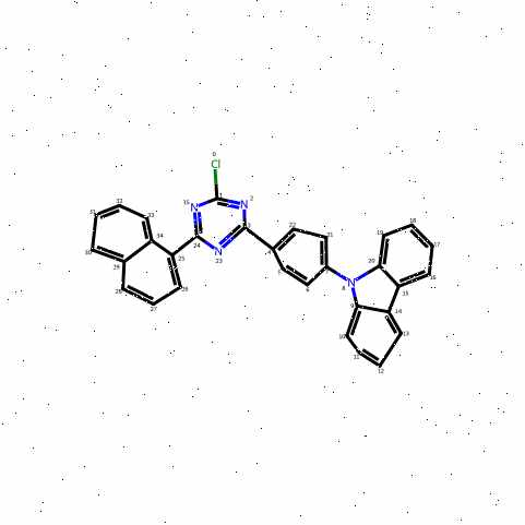 Clc1nc(-c2ccc(-n3c4ccccc4c4ccccc43)cc2)nc(-c2cccc3ccccc23)n1